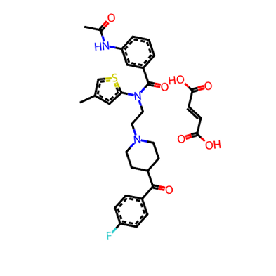 CC(=O)Nc1cccc(C(=O)N(CCN2CCC(C(=O)c3ccc(F)cc3)CC2)c2cc(C)cs2)c1.O=C(O)C=CC(=O)O